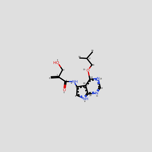 C=C(CO)C(=O)Nc1c[nH]c2ncnc(OCC(C)C)c12